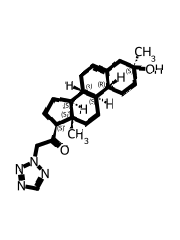 C[C@]1(O)CC[C@H]2C(=CC[C@@H]3[C@@H]2CC[C@]2(C)[C@@H](C(=O)Cn4ncnn4)CC[C@@H]32)C1